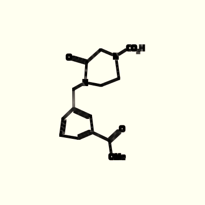 COC(=O)c1cccc(CN2CCN(C(=O)O)CC2=O)c1